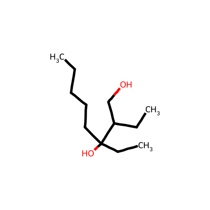 CCCCCC(O)(CC)C(CC)CO